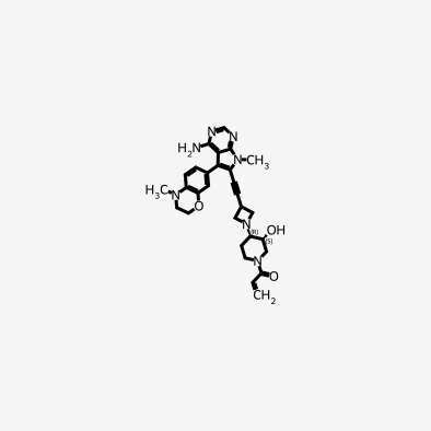 C=CC(=O)N1CC[C@@H](N2CC(C#Cc3c(-c4ccc5c(c4)OCCN5C)c4c(N)ncnc4n3C)C2)[C@@H](O)C1